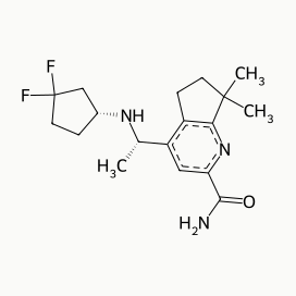 C[C@H](N[C@@H]1CCC(F)(F)C1)c1cc(C(N)=O)nc2c1CCC2(C)C